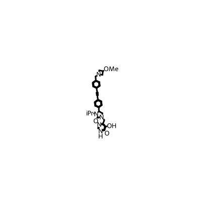 COC1CN(Cc2ccc(C#Cc3ccc(C4CN(Cc5nc[nH]c(=O)c5O)C(=O)N4C(C)C)cc3)cc2)C1